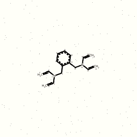 C=CN(C=C)Cc1ccccc1CN(C=C)C=C